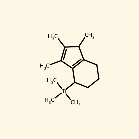 CC1=C(C)C(C)C2=C1[CH]([Ti]([CH3])([CH3])[CH3])CCC2